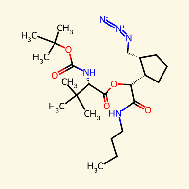 CCCCNC(=O)C(OC(=O)[C@@H](NC(=O)OC(C)(C)C)C(C)(C)C)[C@H]1CCC[C@H]1CN=[N+]=[N-]